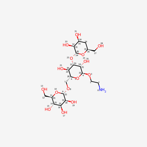 NCCO[C@H]1O[C@H](CO[C@H]2O[C@H](CO)[C@@H](O)[C@H](O)[C@@H]2O)[C@@H](O)[C@H](O[C@H]2O[C@H](CO)C[C@H](O)[C@@H]2O)[C@@H]1O